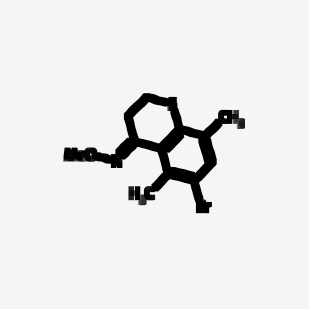 CON=C1CCSc2c(C)cc(Br)c(C)c21